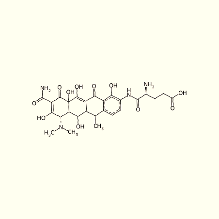 CC1c2ccc(NC(=O)[C@@H](N)CCC(=O)O)c(O)c2C(=O)C2=C(O)C3(O)C(=O)C(C(N)=O)=C(O)[C@@H](N(C)C)C3C(O)C21